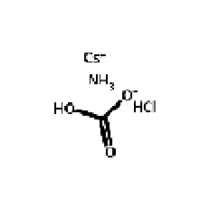 Cl.N.O=C([O-])O.[Cs+]